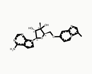 Cc1cnc2cc(OC[C@H]3O[C@@H](n4ccc5c(N)ncnc54)[C@H](O)[C@]3(C)O)ccn12